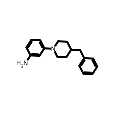 Nc1cccc(N2CCC(Cc3ccccc3)CC2)c1